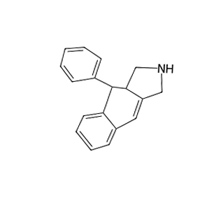 C1=C2CNCC2C(c2ccccc2)c2ccccc21